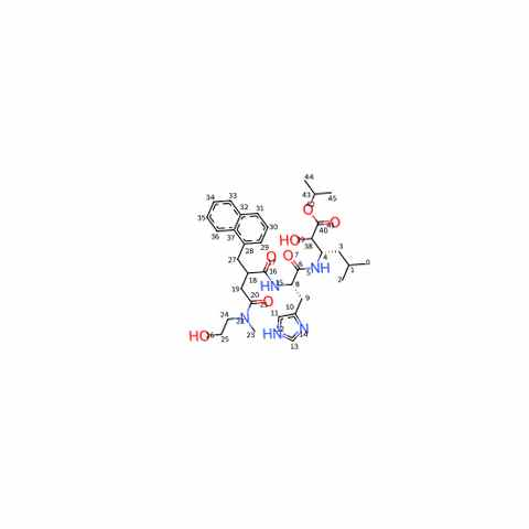 CC(C)C[C@H](NC(=O)[C@H](Cc1c[nH]cn1)NC(=O)C(CC(=O)N(C)CCO)Cc1cccc2ccccc12)C(O)C(=O)OC(C)C